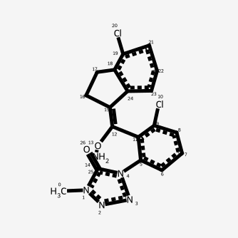 Cn1nnn(-c2cccc(Cl)c2/C(ON)=C2/CCc3c(Cl)cccc32)c1=O